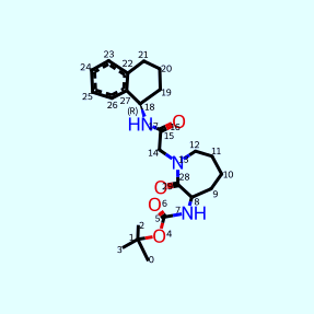 CC(C)(C)OC(=O)NC1CCCCN(CC(=O)N[C@@H]2CCCc3ccccc32)C1=O